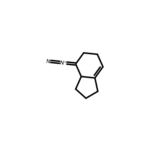 [N-]=[N+]=C1CCC=C2CCCC21